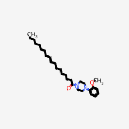 CCCCCCCCCCCCCCCCCC(=O)N1CCN(c2ccccc2OC)CC1